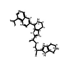 CC(C)c1cncc2nc(C3NCCc4nc(C(C)CCC(C)c5nc6c([nH]5)CNCC6)sc43)cnc12